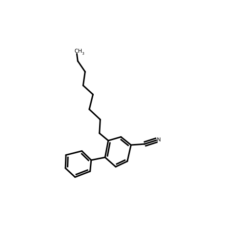 CCCCCCCCc1cc(C#N)ccc1-c1ccccc1